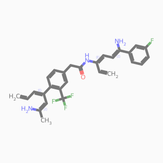 C=C/C=C(\C=C(\C)N)c1ccc(CC(=O)N/C(C=C)=C/C=C(\N)c2cccc(F)c2)cc1C(F)(F)F